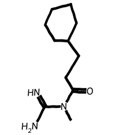 CN(C(=N)N)C(=O)CCC1CCCCC1